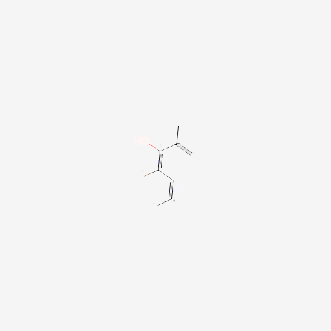 C=C(C)/C(O)=C(Br)\C=C/C